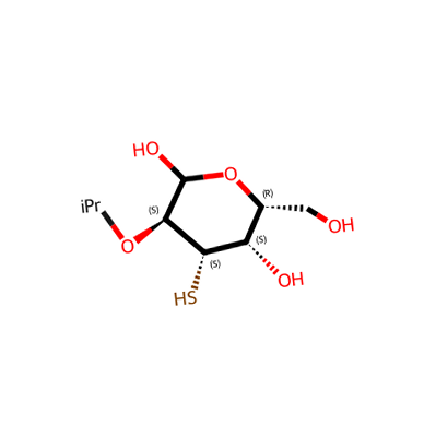 CC(C)O[C@H]1C(O)O[C@H](CO)[C@H](O)[C@@H]1S